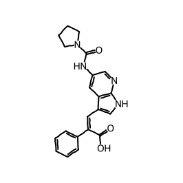 O=C(O)C(=Cc1c[nH]c2ncc(NC(=O)N3CCCC3)cc12)c1ccccc1